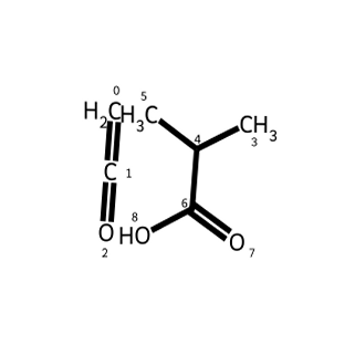 C=C=O.CC(C)C(=O)O